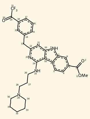 COC(=O)c1ccc2c(c1)[nH]c1nc(Cc3cccc(C(=O)C(F)(F)F)c3)nc(NCCCN3CCCCC3)c12